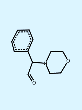 O=[C]C(c1ccccc1)N1CCOCC1